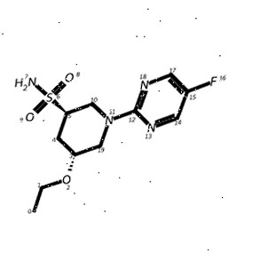 CCO[C@@H]1C[C@@H](S(N)(=O)=O)CN(c2ncc(F)cn2)C1